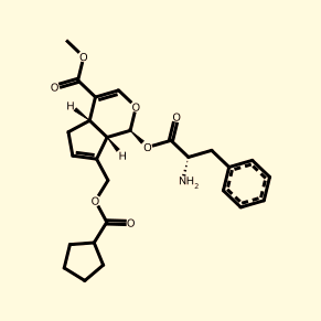 COC(=O)C1=CO[C@@H](OC(=O)[C@@H](N)Cc2ccccc2)[C@@H]2C(COC(=O)C3CCCC3)=CC[C@H]12